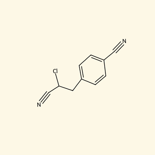 N#Cc1ccc(CC(Cl)C#N)cc1